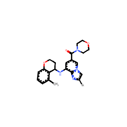 CCc1cn2cc(C(=O)N3CCOCC3)cc(NC3CCOc4cccc(C)c43)c2n1